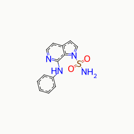 NS(=O)(=O)n1ccc2ccnc(Nc3ccccc3)c21